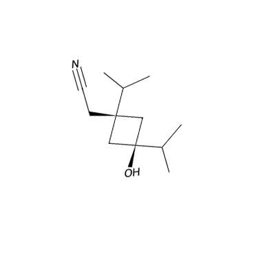 CC(C)[C@]1(O)C[C@](CC#N)(C(C)C)C1